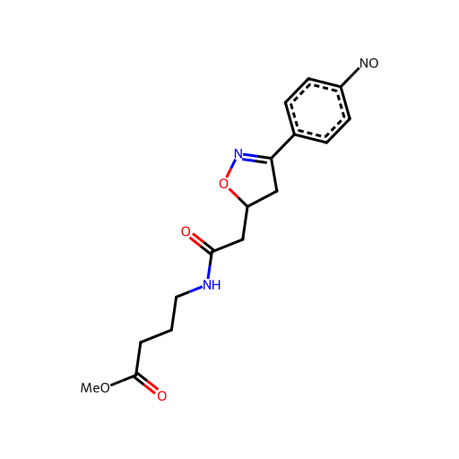 COC(=O)CCCNC(=O)CC1CC(c2ccc(N=O)cc2)=NO1